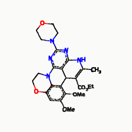 CCOC(=O)C1=C(C)Nc2nc(N3CCOCC3)nc(N3CCOCC3)c2C1c1cccc(OC)c1OC